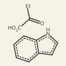 CCC(=O)C(=O)O.c1ccc2[nH]ccc2c1